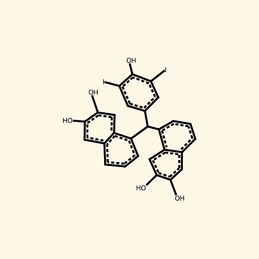 Oc1cc2cccc(C(c3cc(I)c(O)c(I)c3)c3cccc4cc(O)c(O)cc34)c2cc1O